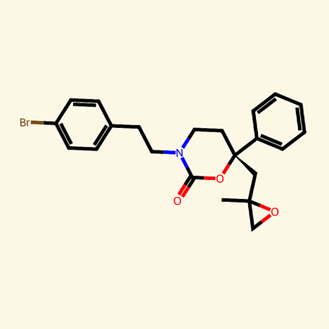 CC1(C[C@]2(c3ccccc3)CCN(CCc3ccc(Br)cc3)C(=O)O2)CO1